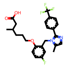 Cc1cnc(-c2ccc(C(F)(F)F)cc2)n1Cc1cc(F)ccc1OCCCC(C)CC(=O)O